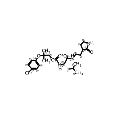 CC(C)C[C@H](NC(=O)OCC(C)(C)Oc1ccc(Cl)cc1)C(=O)NCCC1CCNC1=O